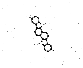 Cn1c2ccc(C#N)cc2c2ccc3c(ccc4c5cc(C#N)ccc5n(C)c43)c21